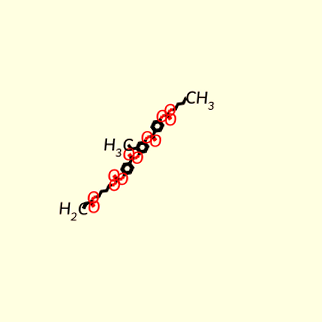 C=CC(=O)OCCCCOC(=O)Oc1ccc(C(=O)Oc2ccc(OC(=O)c3ccc(OC(=O)OCCCCC)cc3)cc2CC)cc1